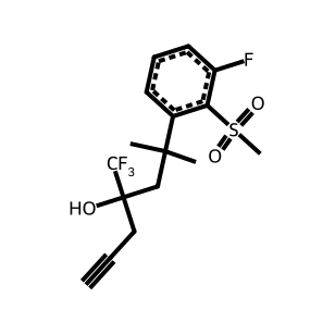 C#CCC(O)(CC(C)(C)c1cccc(F)c1S(C)(=O)=O)C(F)(F)F